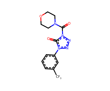 O=C(N1CCOCC1)n1nnn(-c2cccc(C(F)(F)F)c2)c1=O